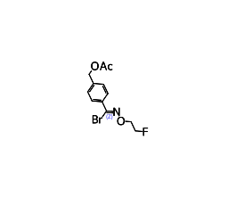 CC(=O)OCc1ccc(/C(Br)=N/OCCF)cc1